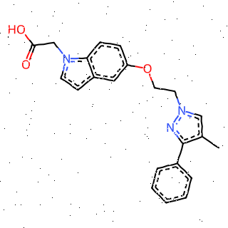 Cc1cn(CCOc2ccc3c(ccn3CC(=O)O)c2)nc1-c1ccccc1